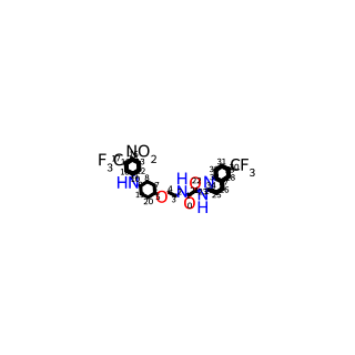 O=C(NCCO[C@H]1CC[C@H](Nc2ccc([N+](=O)[O-])c(C(F)(F)F)c2)CC1)C(=O)Nc1ccc2cc(C(F)(F)F)ccc2n1